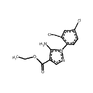 CCOC(=O)c1cnn(-c2ccc(Cl)cc2Cl)c1N